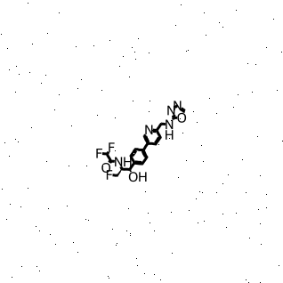 O=C(N[C@H](CF)[C@H](O)c1ccc(-c2ccc(CNc3nnco3)nc2)cc1)C(F)F